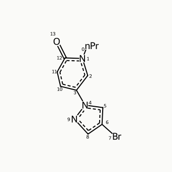 CCCn1cc(-n2cc(Br)cn2)ccc1=O